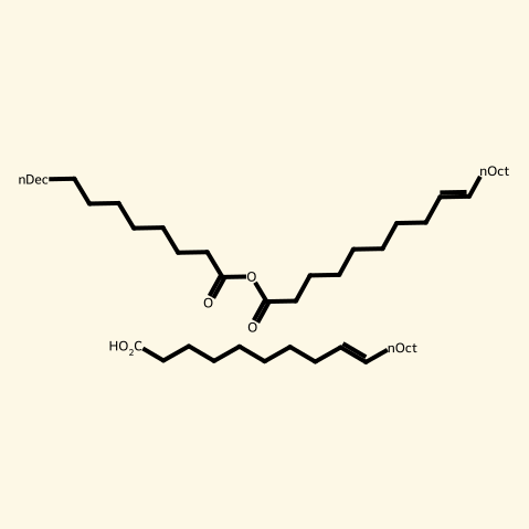 CCCCCCCCC=CCCCCCCCC(=O)O.CCCCCCCCC=CCCCCCCCC(=O)OC(=O)CCCCCCCCCCCCCCCCC